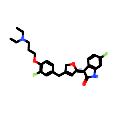 CCN(CC)CCCOc1ccc(CC2=C/C(=C3\C(=O)Nc4cc(F)ccc43)OC2)cc1F